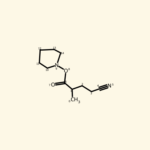 CC(CCC#N)C(=O)ON1CCCCC1